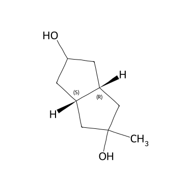 CC1(O)C[C@H]2CC(O)C[C@H]2C1